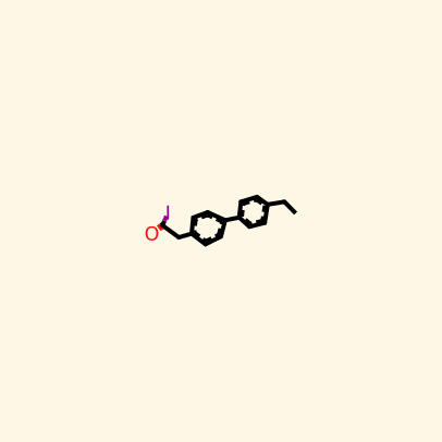 CCc1ccc(-c2ccc(CC(=O)I)cc2)cc1